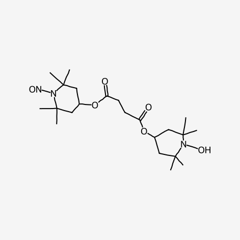 CC1(C)CC(OC(=O)CCC(=O)OC2CC(C)(C)N(N=O)C(C)(C)C2)CC(C)(C)N1O